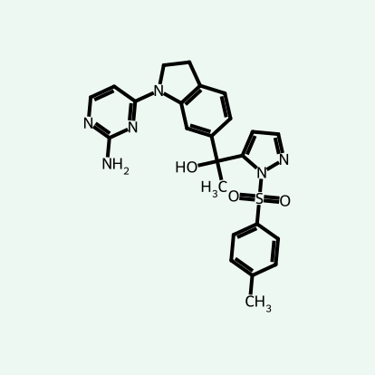 Cc1ccc(S(=O)(=O)n2nccc2C(C)(O)c2ccc3c(c2)N(c2ccnc(N)n2)CC3)cc1